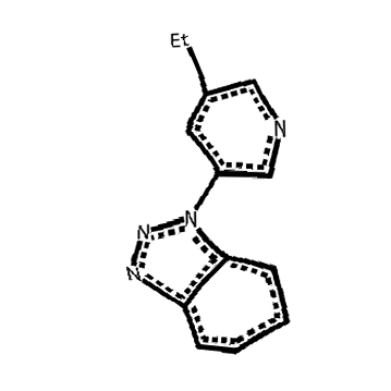 CCc1cncc(-n2nnc3ccccc32)c1